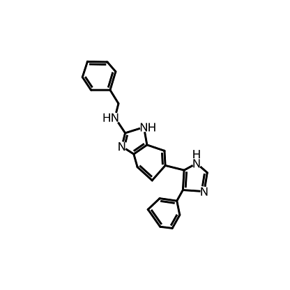 c1ccc(CNc2nc3ccc(-c4[nH]cnc4-c4ccccc4)cc3[nH]2)cc1